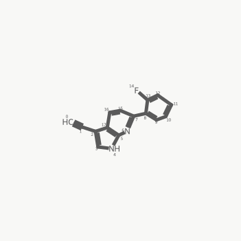 C#Cc1c[nH]c2nc(-c3ccccc3F)ccc12